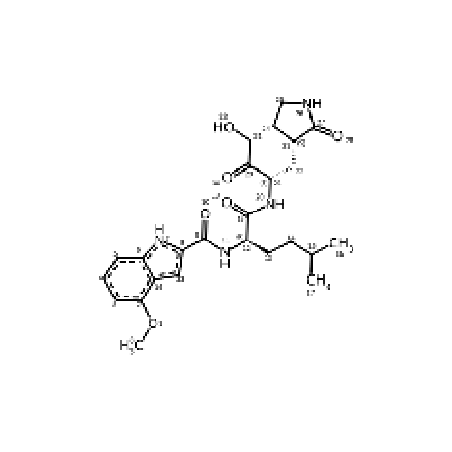 COc1cccc2[nH]c(C(=O)N[C@H](CCC(C)C)C(=O)N[C@@H](C[C@@H]3CCNC3=O)C(=O)CO)cc12